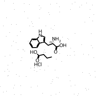 CCCC(=O)O.Cl.N[C@@H](Cc1c[nH]c2ccccc12)C(=O)O